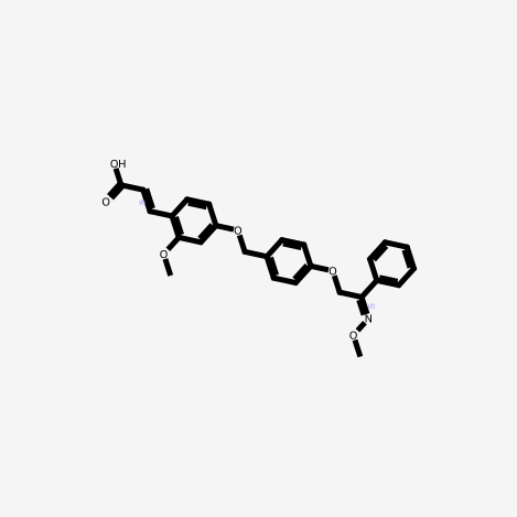 CO/N=C(\COc1ccc(COc2ccc(/C=C/C(=O)O)c(OC)c2)cc1)c1ccccc1